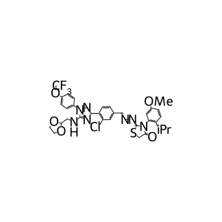 COc1ccc(C(C)C)c(N2C(=O)CS/C2=N\N=C\c2ccc(-c3nc(NCC4OCCO4)n(-c4ccc(OC(F)(F)F)cc4)n3)c(Cl)c2)c1